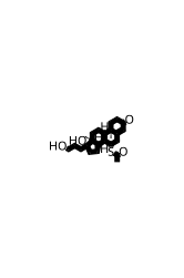 CC(=O)SC1CC2=CC(=O)CC[C@]2(C)[C@@H]2CC[C@@]3(C)[C@@H](CCC3(O)CCCO)[C@H]12